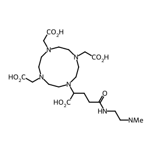 CNCCNC(=O)CCC(C(=O)O)N1CCN(CC(=O)O)CCN(CC(=O)O)CCN(CC(=O)O)CC1